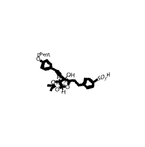 CCCCCOc1ccc(C#C[C@@]2(O)C(CCc3ccc(S(=O)(=O)O)cc3)O[C@@H]3OC(C)(C)O[C@@H]32)cc1